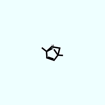 CC12C=CC(C)(CC1)P2